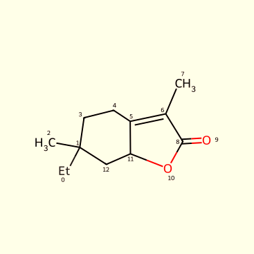 CCC1(C)CCC2=C(C)C(=O)OC2C1